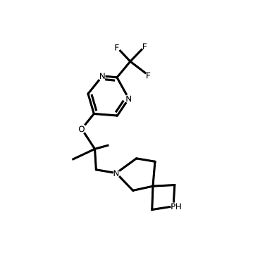 CC(C)(CN1CCC2(CPC2)C1)Oc1cnc(C(F)(F)F)nc1